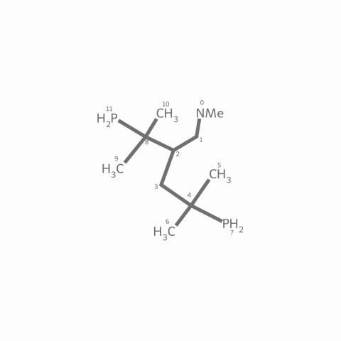 CNCC(CC(C)(C)P)C(C)(C)P